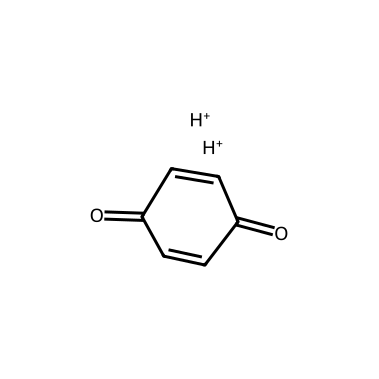 O=C1C=CC(=O)C=C1.[H+].[H+]